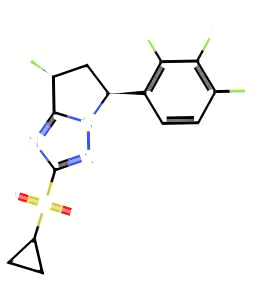 O=S(=O)(c1nc2n(n1)[C@H](c1ccc(F)c(F)c1F)C[C@@H]2F)C1CC1